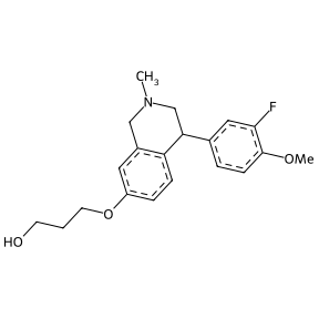 COc1ccc(C2CN(C)Cc3cc(OCCCO)ccc32)cc1F